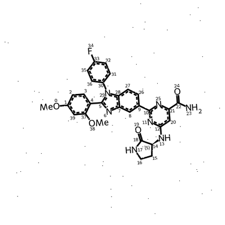 COc1ccc(-c2nc3cc(-c4nc(N[C@H]5CCNC5=O)cc(C(N)=O)n4)ccc3n2-c2ccc(F)cc2)c(OC)c1